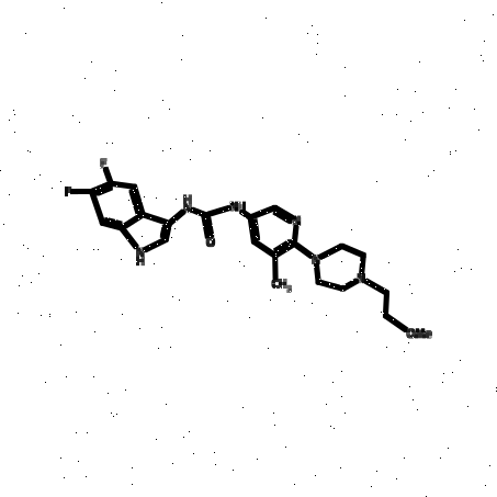 COCCN1CCN(c2ncc(NC(=O)Nc3c[nH]c4cc(F)c(F)cc34)cc2C)CC1